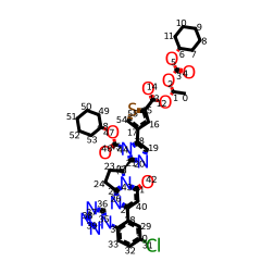 CC(OC(=O)OC1CCCCC1)OC(=O)c1cc(-c2cnc([C@@H]3CCc4nc(-c5cc(Cl)ccc5-n5cnnn5)cc(=O)n43)n2C(=O)OC2CCCCC2)cs1